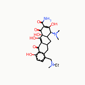 CCN(C)Cc1ccc(O)c2c1CC1CC3[C@H](N(C)C)C(O)=C(C(N)=O)C(=O)[C@@]3(O)C(O)=C1C2=O